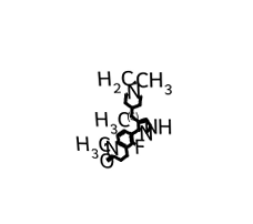 C=C(C)N1CCC([C@H](C)c2c[nH]nc2-c2ccc3c(c2F)CCC(=O)N3C)CC1